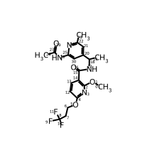 COc1nc(OCCC(F)(F)F)ccc1C(=O)NC(C)c1cc(C)nc(NC(C)=O)c1